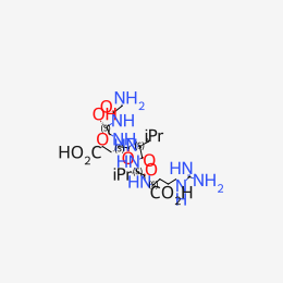 CC(C)C[C@H](NC(=O)[C@H](CCC(=O)O)NC(=O)[C@H](CO)NC(=O)CN)C(=O)N[C@H](C(=O)N[C@@H](CCCNC(=N)N)C(=O)O)C(C)C